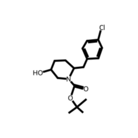 CC(C)(C)OC(=O)N1CC(O)CCC1Cc1ccc(Cl)cc1